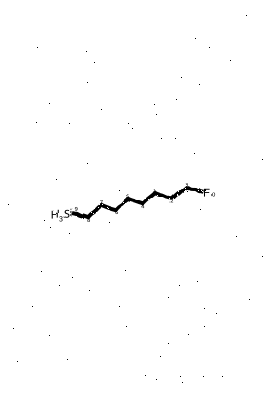 FCCCCCCCC[SiH3]